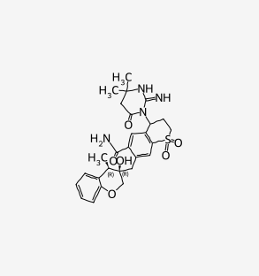 C[C@@H]1c2ccccc2OC[C@@]1(O)Cc1cc2c(cc1C(N)=O)C(N1C(=N)NC(C)(C)CC1=O)CCS2(=O)=O